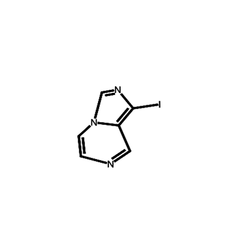 Ic1ncn2ccncc12